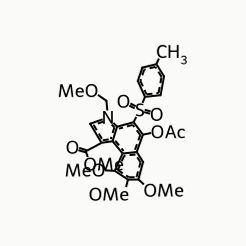 COCn1cc(C(=O)OC)c2c3c(OC)c(OC)c(OC)cc3c(OC(C)=O)c(S(=O)(=O)c3ccc(C)cc3)c21